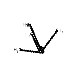 CCCCCCCCCCCCCCCCC=CC(=Nc1cccc(C=CCCCCCCCCCCCCCCCCCCCCC)c1)C(CCCCCCCCCCCCCCCCC)=Nc1cccc(C=CCCCCCCCCCCCCCCCCCCCCC)c1.[Ni]